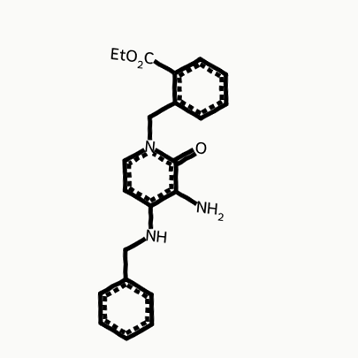 CCOC(=O)c1ccccc1Cn1ccc(NCc2ccccc2)c(N)c1=O